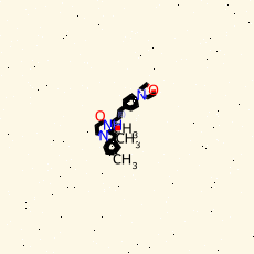 Cc1ccc2c(c1)C(C)(C)C1(/C=C/C=C/c3ccc(N4CCOCC4)cc3)NC(=O)CCN21